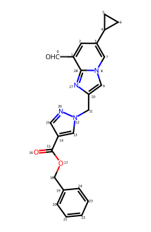 O=Cc1cc(C2CC2)cn2cc(Cn3cc(C(=O)OCc4ccccc4)cn3)nc12